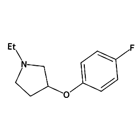 CCN1CCC(Oc2ccc(F)cc2)C1